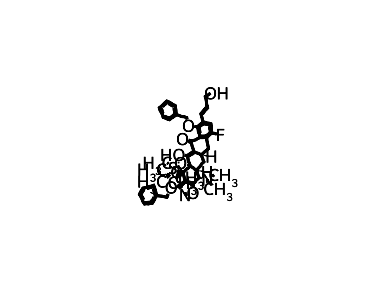 CN(C)[C@@H]1c2onc(OCc3ccccc3)c2C(=O)[C@@]2(O[Si](C)(C)C(C)(C)C)C(O)=C3C(=O)c4c(c(F)cc(/C=C/CO)c4OCc4ccccc4)C[C@H]3C[C@@H]12